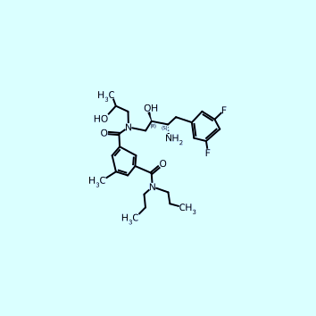 CCCN(CCC)C(=O)c1cc(C)cc(C(=O)N(CC(C)O)C[C@@H](O)[C@@H](N)Cc2cc(F)cc(F)c2)c1